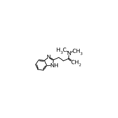 C=C(CCc1nc2ccccc2[nH]1)N(C)C